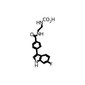 O=C(O)NCCNC(=O)c1ccc(-c2c[nH]c3cc(F)ccc23)cc1